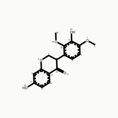 COc1ccc(C2COc3cc(O)ccc3C2=O)c(OC)c1O